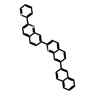 c1ccc(-c2ccc3ccc(-c4ccc5ccc(-c6ccc7ccccc7c6)cc5n4)cc3n2)nc1